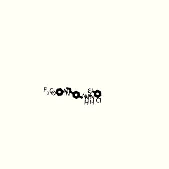 FC(F)(F)Oc1ccc(N2CCC(c3ccc(/C=N/NC(=S)Nc4c(Cl)cccc4Cl)cc3)=N2)cc1